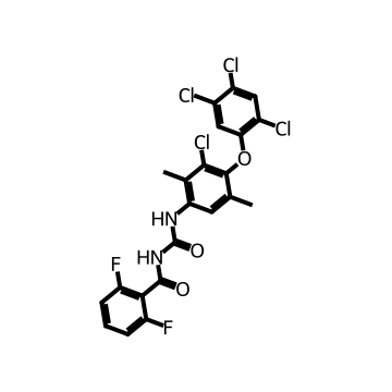 Cc1cc(NC(=O)NC(=O)c2c(F)cccc2F)c(C)c(Cl)c1Oc1cc(Cl)c(Cl)cc1Cl